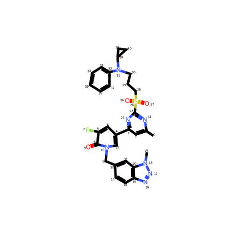 Cc1cc(-c2cc(F)c(=O)n(Cc3ccc4nnn(C)c4c3)c2)nc(S(=O)(=O)CCCN(c2ccccc2)C2CC2)n1